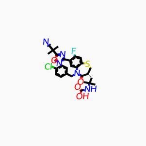 CC(C)(C[C@H]1CSc2cc(F)c(-c3noc(C(C)(C)C#N)n3)cc2N(Cc2ccc(Cl)cc2)C1=O)NC(=O)O